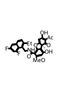 CCc1ccc2cc(F)cc(F)c2c1CNC(=O)c1c(OC)cc(O)c2c1OC1=CC(O)=C(C(C)=O)C(=O)[C@]12C